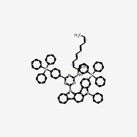 C=C(/C=C\C=CC=C/C=C\C)Nc1nc(-c2ccc([Si](c3ccccc3)(c3ccccc3)c3ccccc3)cc2)nc(-n2c3ccccc3c3ccc4c(c5ccc([Si](c6ccccc6)(c6ccccc6)c6ccccc6)cc5n4-c4ccccc4)c32)n1